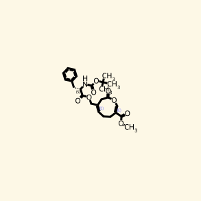 COC(=O)/C1=C/OC(=O)C/C(COC(=O)[C@H](Cc2ccccc2)NC(=O)OC(C)(C)C)=C\CC1